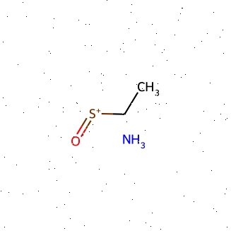 CC[S+]=O.N